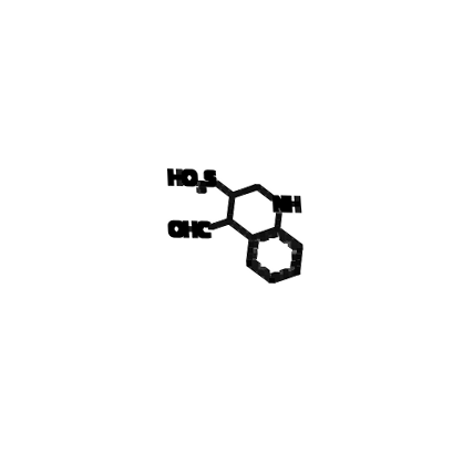 O=CC1c2ccccc2NCC1S(=O)(=O)O